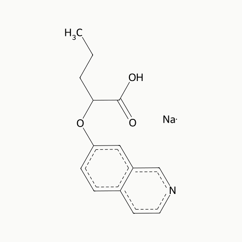 CCCC(Oc1ccc2ccncc2c1)C(=O)O.[Na]